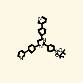 CC1(C)OB(c2ccc(-c3nc(-c4ccc(-c5cccnc5)cc4)cc(-c4ccc(-c5cccnc5)cc4)n3)cc2)OC1(C)C